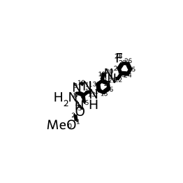 COCCON=Cc1c(N)ncnc1Nc1ccc2c(cnn2Cc2cccc(F)c2)c1